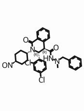 CN(Cc1ccccc1)NC(=O)[C@@H]1c2ccccc2C(=O)N([C@H]2CC[C@H](N=O)CC2)[C@H]1c1ccc(Cl)cc1Cl